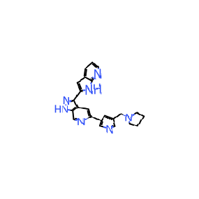 c1cnc2[nH]c(-c3n[nH]c4cnc(-c5cncc(CN6CCCC6)c5)cc34)cc2c1